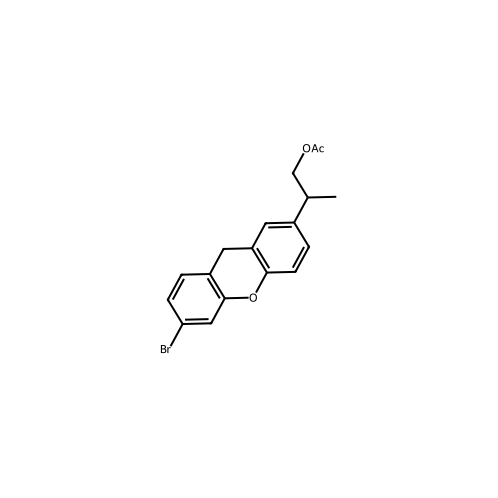 CC(=O)OCC(C)c1ccc2c(c1)Cc1ccc(Br)cc1O2